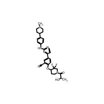 C[C@@H](O)C(=O)N1CCC(Oc2ccc(-c3ccnc(Nc4ccc(C5CCN(C)CC5)cc4)n3)cc2C#N)C(F)(F)C1